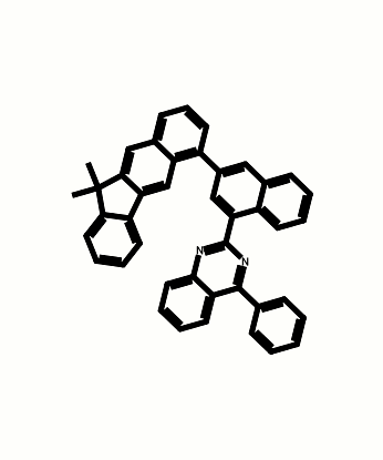 CC1(C)c2ccccc2-c2cc3c(-c4cc(-c5nc(-c6ccccc6)c6ccccc6n5)c5ccccc5c4)cccc3cc21